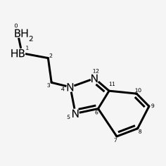 BBCCn1nc2ccccc2n1